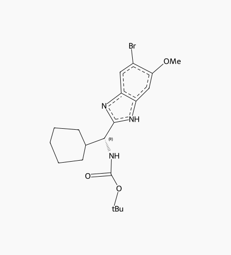 COc1cc2[nH]c([C@H](NC(=O)OC(C)(C)C)C3CCCCC3)nc2cc1Br